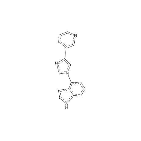 c1cncc(-c2cn(-c3cccc4[nH]ccc34)cn2)c1